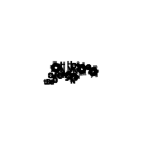 Cc1cc(Oc2ccccc2)ccc1N1C(=O)Nc2c(C(=O)N[C@@H]3CCCC[C@@H]3NC(=O)OC(C)(C)C)sc3nccc1c23